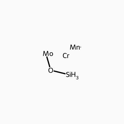 [Cr].[Mn].[SiH3][O][Mo]